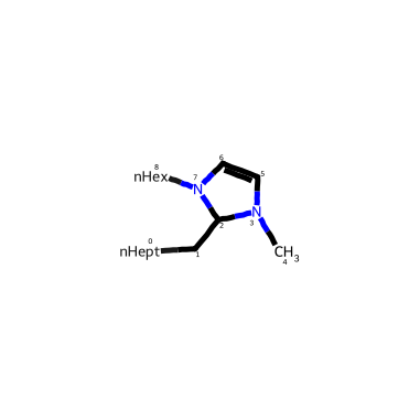 CCCCCCCCC1N(C)C=CN1CCCCCC